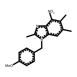 COc1ccc(Cn2c(C)nc3c([N+](=O)[O-])c(C)c(C)cc32)cc1